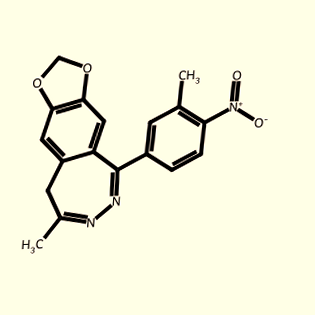 CC1=NN=C(c2ccc([N+](=O)[O-])c(C)c2)c2cc3c(cc2C1)OCO3